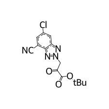 CC(C)(C)OC(=O)C(=O)Cn1nc2cc(Cl)cc(C#N)c2n1